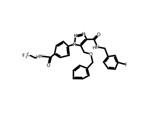 O=C(NCC(F)(F)F)c1ccc(-n2nnc(C(=O)NCc3cccc(F)c3)c2COCc2ccccc2)cc1